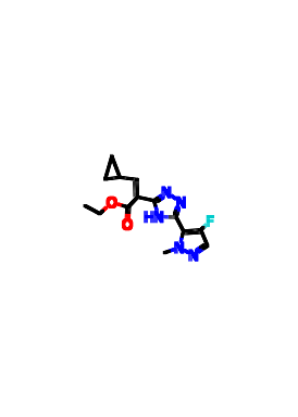 CCOC(=O)C(=CC1CC1)c1nnc(-c2c(F)cnn2C)[nH]1